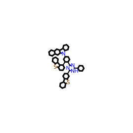 c1ccc(C2N=C(c3ccc(-n4c5ccccc5c5cc6ccccc6cc54)cc3-c3cccc4sc5ccccc5c34)N=C(c3ccc4c(c3)sc3ccccc34)N2)cc1